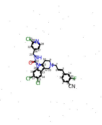 N#Cc1ccc(C=CCN2CCc3c(c4cc(Cl)c(Cl)cc4n3C(=O)NCc3ccnc(Cl)c3)C2)cc1F